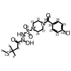 CSC(C)(C)CC(=O)N(O)NS(=O)(=O)N1CCN(C(=O)c2ccc(Cl)cc2)CC1